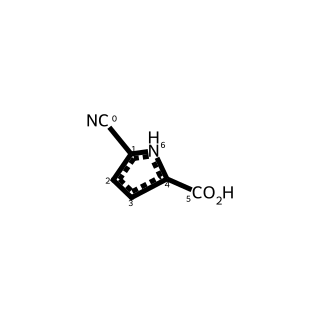 N#Cc1ccc(C(=O)O)[nH]1